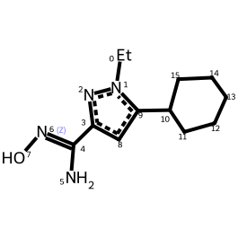 CCn1nc(/C(N)=N/O)cc1C1CCCCC1